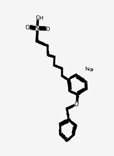 O=S(=O)(O)CCCCCCCc1cccc(OCc2ccccc2)c1.[Na]